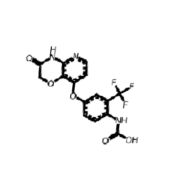 O=C(O)Nc1ccc(Oc2ccnc3c2OCC(=O)N3)cc1C(F)(F)F